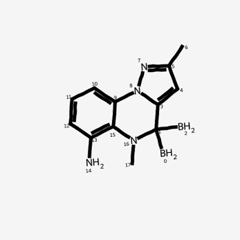 BC1(B)c2cc(C)nn2-c2cccc(N)c2N1C